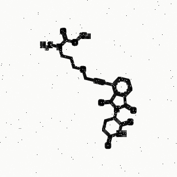 CN(CCCOCC#Cc1cccc2c1C(=O)N(C1CCC(=O)NC1=O)C2=O)C(=O)OC(C)(C)C